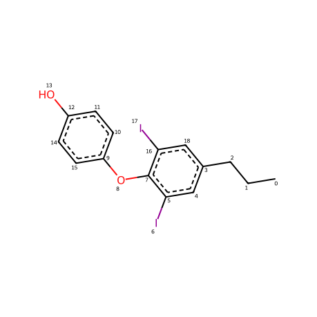 CCCc1cc(I)c(Oc2ccc(O)cc2)c(I)c1